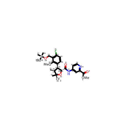 COC(=O)c1cc(NC(=O)[C@@H]2O[C@@](C)(C(F)(F)F)[C@@H](C)[C@H]2c2ccc(F)c(CO[Si](C)(C)C(C)(C)C)c2OC)ccn1